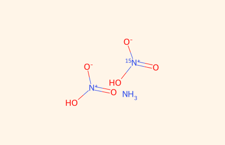 N.O=[15N+]([O-])O.O=[N+]([O-])O